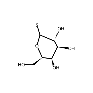 OC[C@H]1OC([S])[C@H](O)[C@@H](O)[C@H]1O